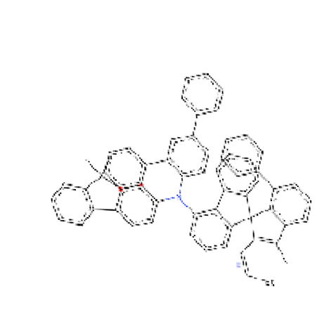 CC/C=C\C1=C(C)c2cccc(-c3ccccc3)c2C12c1ccccc1-c1c(N(c3ccc4c(c3)C(C)(C)c3ccccc3-4)c3ccc(-c4ccccc4)cc3-c3ccccc3)cccc12